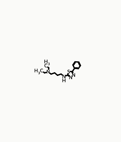 CCN(CC)CCCCNc1nnc(-c2ccccc2)s1